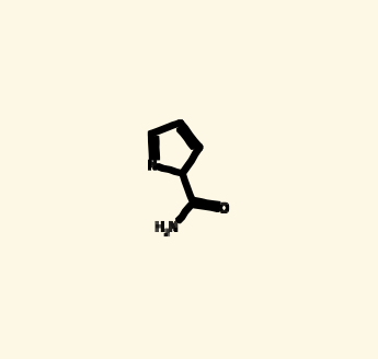 NC(=O)C1C=CC=N1